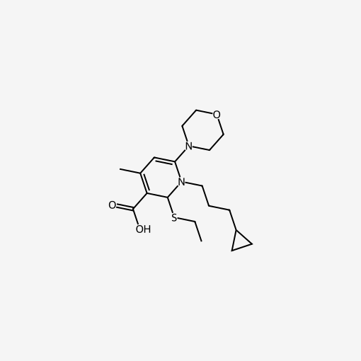 CCSC1C(C(=O)O)=C(C)C=C(N2CCOCC2)N1CCCC1CC1